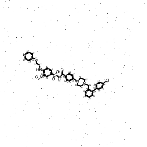 O=C(NS(=O)(=O)c1ccc(NCCSc2ccncc2)c([N+](=O)[O-])c1)c1ccc(N2CCN(Cc3ccccc3-c3ccc(Cl)cc3)CC2)cc1